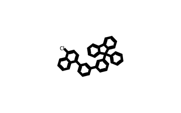 Clc1ccc(-c2cccc(-c3cccc(C4(c5ccccc5)c5ccccc5-c5ccccc54)c3)c2)c2ccccc12